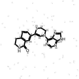 O=C1NCCc2ccc(C3=CN(c4ncnc5[nH]cnc45)CCS3)cc21